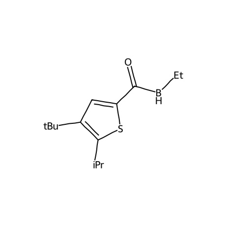 CCBC(=O)c1cc(C(C)(C)C)c(C(C)C)s1